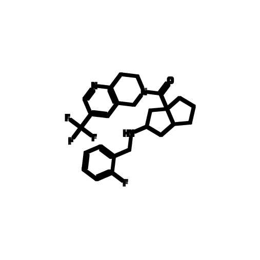 O=C(N1CCc2ncc(C(F)(F)F)cc2C1)C12CCCC1CC(NCc1ccccc1F)C2